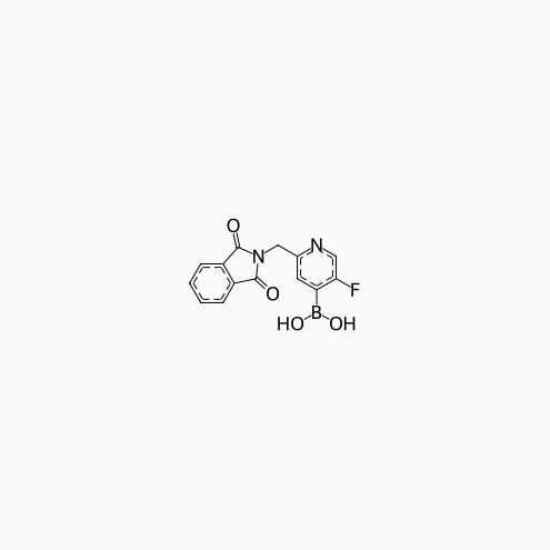 O=C1c2ccccc2C(=O)N1Cc1cc(B(O)O)c(F)cn1